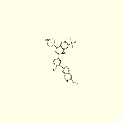 Nc1ncc2cc(-c3cc(C(=O)Nc4cc(C(F)(F)F)ccc4OC4CCNCC4)ccc3Cl)ccc2n1